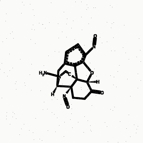 NN1CC[C@]23c4c5ccc(N=O)c4O[C@H]2C(=O)CC[C@@]3(N=O)[C@H]1C5